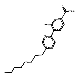 CCCCCCCCc1cnc(-c2ccc(C(=O)O)cc2F)nc1